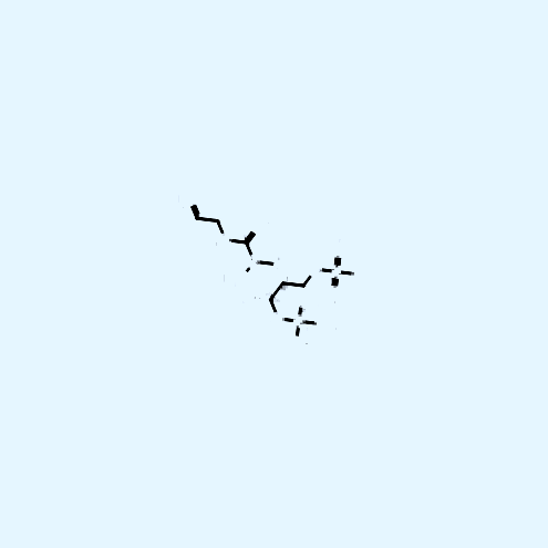 C=CCOC(=O)N(C)C[C@H](COS(C)(=O)=O)[C@@H](C)O[Si](C)(C)C(C)(C)C